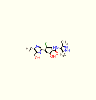 Cc1ncc(-c2cc(O)c(C(=O)Nc3c(C)n[nH]c3C(F)(F)F)cc2F)nc1CO